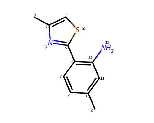 Cc1ccc(-c2nc(C)cs2)c(N)c1